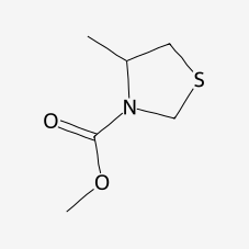 COC(=O)N1CSCC1C